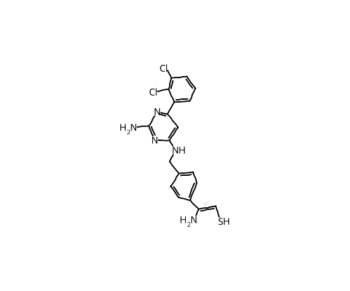 N/C(=C\S)c1ccc(CNc2cc(-c3cccc(Cl)c3Cl)nc(N)n2)cc1